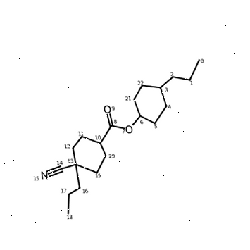 CCCC1CCC(OC(=O)C2CCC(C#N)(CCC)CC2)CC1